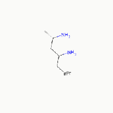 CCCCC(N)C[C@H](C)N